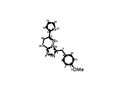 COc1ccc(Cc2nnc3n2N=C(c2cccs2)CS3)cc1